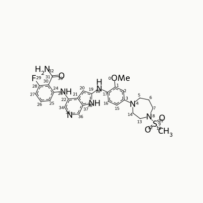 COc1cc(N2CCCN(S(C)(=O)=O)CC2)ccc1Nc1cc2c(Nc3cccc(F)c3C(N)=O)cncc2[nH]1